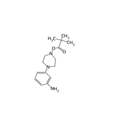 CC(C)(C)C(=O)ON1CCN(c2cccc(N)c2)CC1